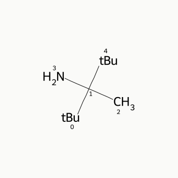 CC(C)(C)C(C)(N)C(C)(C)C